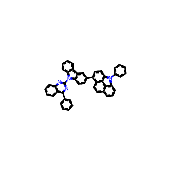 c1ccc(-c2nc(-n3c4ccccc4c4cc(-c5ccc6c7c5ccc5cccc(c57)n6-c5ccccc5)ccc43)nc3ccccc23)cc1